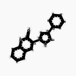 O=c1oc2ccccc2cc1-n1cc(-c2ccccc2)nn1